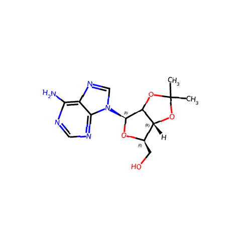 CC1(C)OC2[C@H](n3cnc4c(N)ncnc43)O[C@H](CO)[C@H]2O1